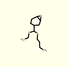 CCCCOC(OCC)C1CCC2OC2C1